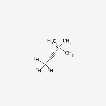 [2H]C([2H])([2H])C#C[Si](C)(C)C